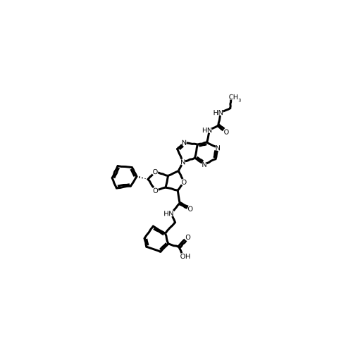 CCNC(=O)Nc1ncnc2c1ncn2C1OC(C(=O)NCc2ccccc2C(=O)O)C2O[C@H](c3ccccc3)OC21